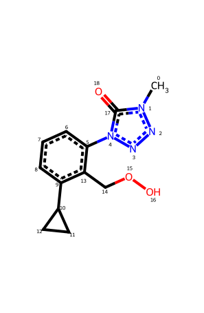 Cn1nnn(-c2cccc(C3CC3)c2COO)c1=O